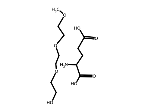 COCCOCCOCCO.NC(CCC(=O)O)C(=O)O